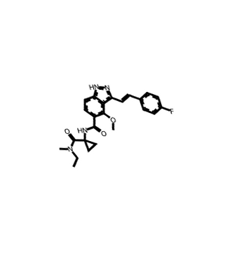 CCN(C)C(=O)C1(NC(=O)c2ccc3[nH]nc(/C=C/c4ccc(F)cc4)c3c2OC)CC1